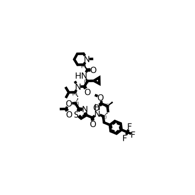 COC(=O)[C@@H](C)C[C@H](Cc1ccc(C(F)(F)F)cc1)NC(=O)c1csc([C@@H](C[C@H](C(C)C)N(C)C(=O)[C@@H](NC(=O)[C@H]2CCCCN2C)C2CC2)OC(C)=O)n1